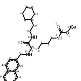 CC(C)(C)OC(=O)NCCCC[C@H](NCc1ccc2ccccc2c1)C(=O)NCCC1CCCCC1